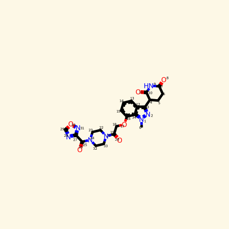 Cn1nc(C2CCC(=O)NC2=O)c2cccc(OCC(=O)N3CCN(C(=O)c4ncon4)CC3)c21